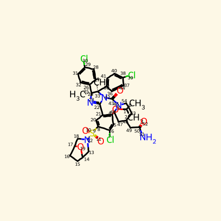 CC(C)Oc1cc(Cl)c(S(=O)(=O)N2CC3CCC(C2)O3)cc1C1=N[C@@](C)(c2ccc(Cl)cc2)[C@@](C)(c2ccc(Cl)cc2)N1C(=O)N1CCC(CC(N)=O)CC1